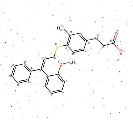 COc1ccccc1/C(=C\CSc1ccc(OCC(=O)O)cc1C)c1ccccc1